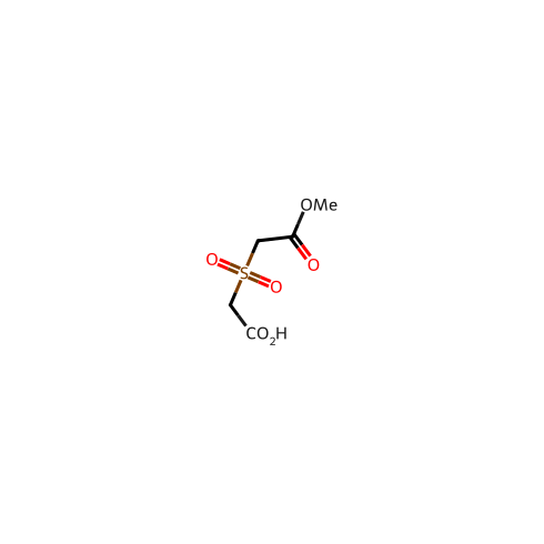 COC(=O)CS(=O)(=O)CC(=O)O